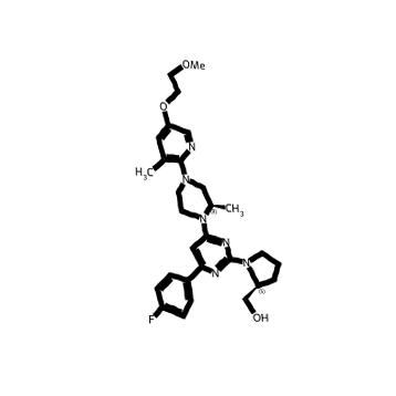 COCCOc1cnc(N2CCN(c3cc(-c4ccc(F)cc4)nc(N4CCC[C@H]4CO)n3)[C@H](C)C2)c(C)c1